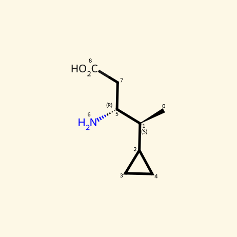 C[C@@H](C1CC1)[C@H](N)CC(=O)O